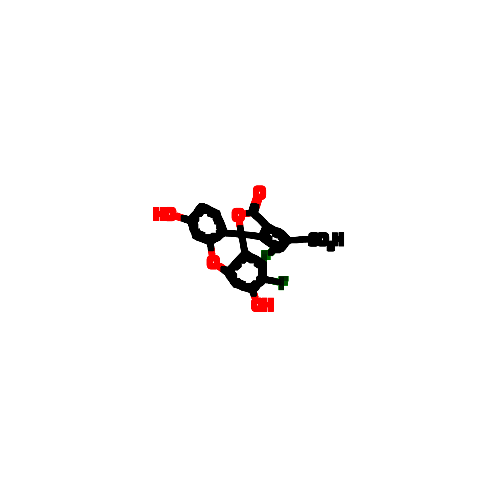 O=C1OC2(c3ccc(O)cc3Oc3cc(O)c(F)cc32)c2c(F)cc(S(=O)(=O)O)cc21